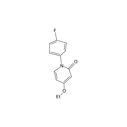 CCOc1ccn(-c2ccc(F)cc2)c(=O)c1